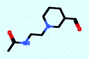 CC(=O)NCCN1CCCC(C=O)C1